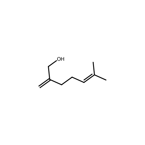 C=C(CO)CCC=C(C)C